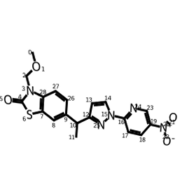 COCn1c(=O)sc2cc(C(C)c3ccn(-c4ccc([N+](=O)[O-])cn4)n3)ccc21